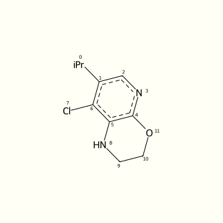 CC(C)c1cnc2c(c1Cl)NCCO2